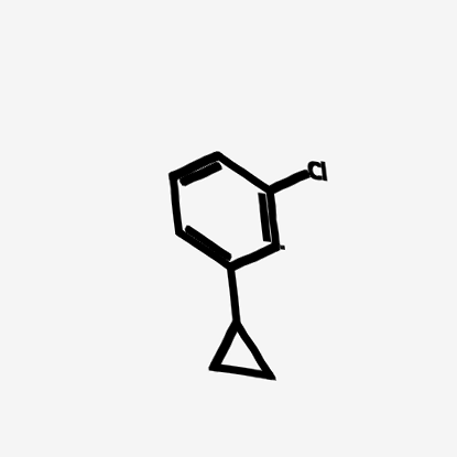 Clc1[c]c(C2CC2)ccc1